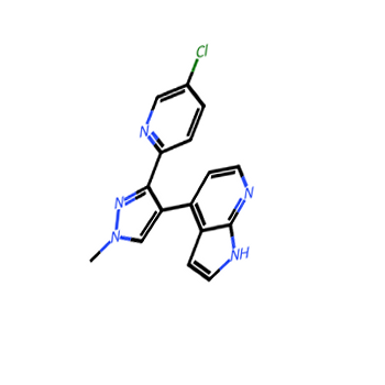 Cn1cc(-c2ccnc3[nH]ccc23)c(-c2ccc(Cl)cn2)n1